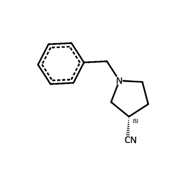 N#C[C@H]1CCN(Cc2ccccc2)C1